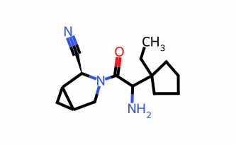 CCC1(C(N)C(=O)N2CC3CC3[C@H]2C#N)CCCC1